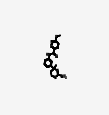 COc1ccc(C(=O)Nc2cccc(C3(C)CCSC(N)=N3)c2)nn1